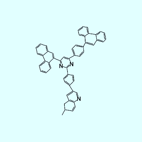 CC1C=Cc2ncc(-c3ccc(-c4nc(-c5ccc(-c6cc7ccccc7c7ccccc67)cc5)cc(-c5cc6ccccc6c6ccccc56)n4)cc3)cc2C1